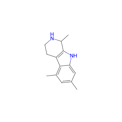 Cc1cc(C)c2c3c([nH]c2c1)C(C)NCC3